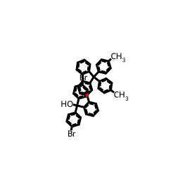 Cc1ccc(C2(c3ccc(C)cc3)c3ccccc3-c3ccc(-c4ccccc4C(O)(c4ccc(Br)cc4)c4ccc(Br)cc4)cc32)cc1